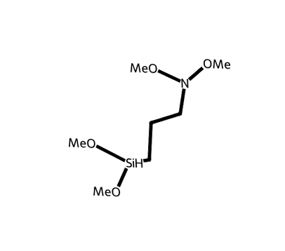 CON(CCC[SiH](OC)OC)OC